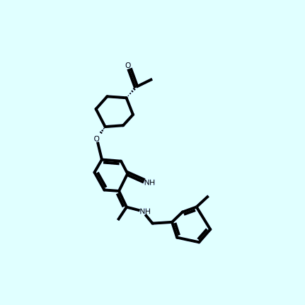 C/C(NCc1cccc(C)c1)=C1\C=CC(O[C@H]2CC[C@@H](C(C)=O)CC2)=CC1=N